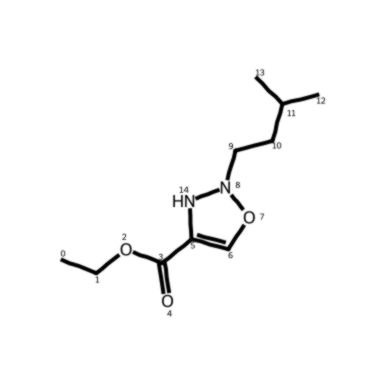 CCOC(=O)C1=CON(CCC(C)C)N1